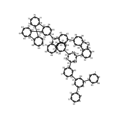 c1ccc(-c2cc(-c3ccccc3)cc(-c3cccc(-c4nc(-c5ccccc5)nc(-c5cccc6oc7ccc(-c8ccc9c(c8)c8ccccc8n9-c8ccc9c(c8)C8(c%10ccccc%10-c%10ccccc%108)c8ccccc8-9)cc7c56)n4)c3)c2)cc1